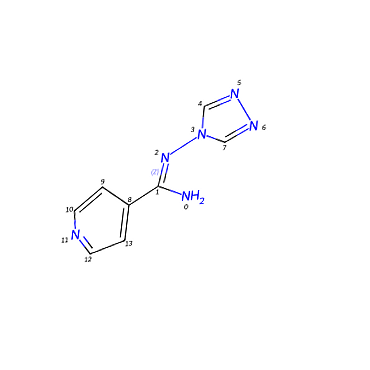 N/C(=N\n1cnnc1)c1ccncc1